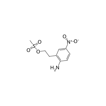 CS(=O)(=O)OCCc1cc([N+](=O)[O-])ccc1N